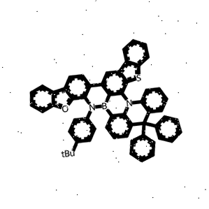 CC(C)(C)c1ccc(N2B3c4cccc5c4N(c4ccccc4C5(c4ccccc4)c4ccccc4)c4c3c(cc3c4sc4ccccc43)-c3ccc4c(oc5ccccc54)c32)cc1